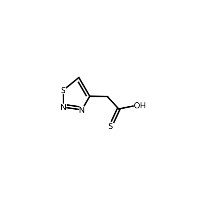 OC(=S)Cc1csnn1